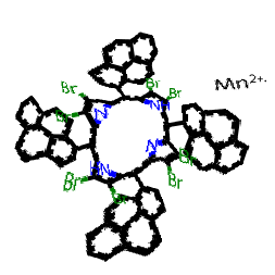 BrC1=C(Br)c2nc1c(-c1ccc3ccc4cccc5ccc1c3c45)c1[nH]c(c(Br)c1Br)c(-c1ccc3ccc4cccc5ccc1c3c45)c1nc(c(-c3ccc4ccc5cccc6ccc3c4c56)c3[nH]c(c(Br)c3Br)c2-c2ccc3ccc4cccc5ccc2c3c45)C(Br)=C1Br.[Mn+2]